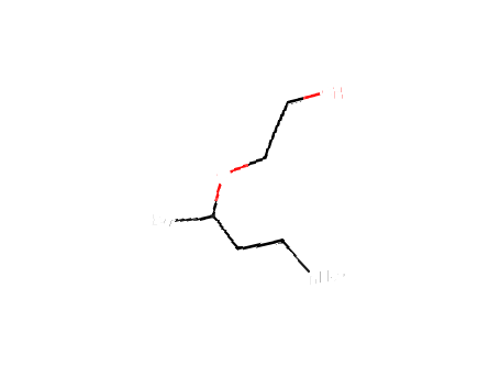 [CH2]CCCC(CCCCCCCC)OCCO